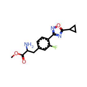 COC(=O)C(N)Cc1ccc(-c2noc(C3CC3)n2)c(F)c1